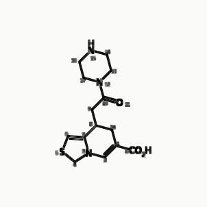 O=C(O)C1=CN2CSC=C2C(CC(=O)N2CCNCC2)C1